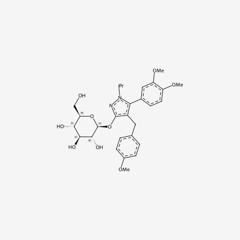 COc1ccc(Cc2c(O[C@@H]3O[C@H](CO)[C@@H](O)[C@H](O)[C@H]3O)nn(C(C)C)c2-c2ccc(OC)c(OC)c2)cc1